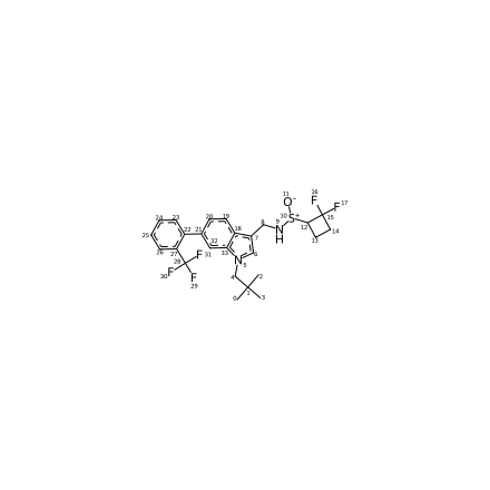 CC(C)(C)Cn1cc(CN[S+]([O-])C2CCC2(F)F)c2ccc(-c3ccccc3C(F)(F)F)cc21